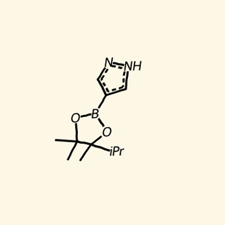 CC(C)C1(C)OB(c2cn[nH]c2)OC1(C)C